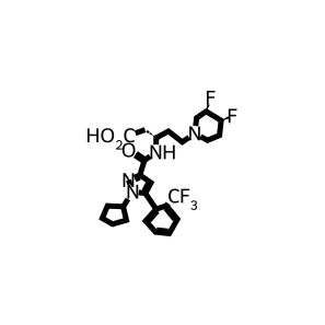 O=C(O)C[C@H](CCN1CC[C@@H](F)[C@@H](F)C1)NC(=O)c1cc(-c2ccccc2C(F)(F)F)n(C2CCCC2)n1